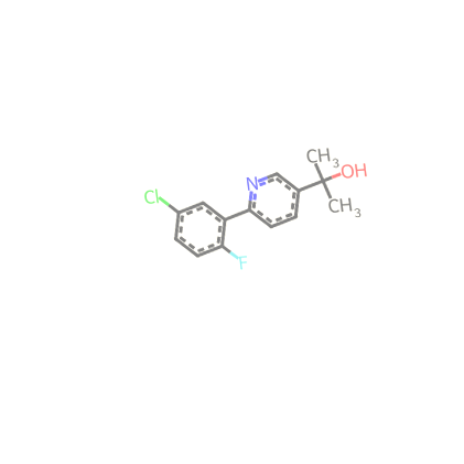 CC(C)(O)c1ccc(-c2cc(Cl)ccc2F)nc1